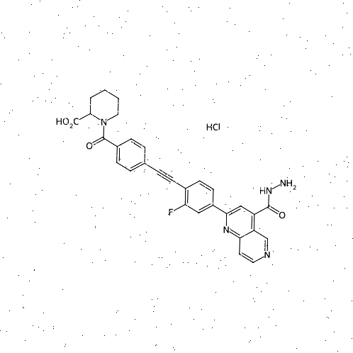 Cl.NNC(=O)c1cc(-c2ccc(C#Cc3ccc(C(=O)N4CCCCC4C(=O)O)cc3)c(F)c2)nc2ccncc12